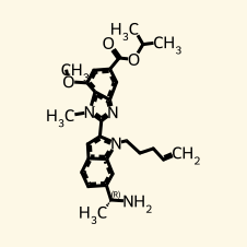 C=CCCCn1c(-c2nc3cc(C(=O)OC(C)C)cc(OC)c3n2C)cc2ccc([C@@H](C)N)cc21